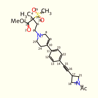 COC(=O)C(C)(CCN1CC=C(c2ccc(C#CC3CN(C(C)=O)C3)cc2)CC1)S(C)(=O)=O